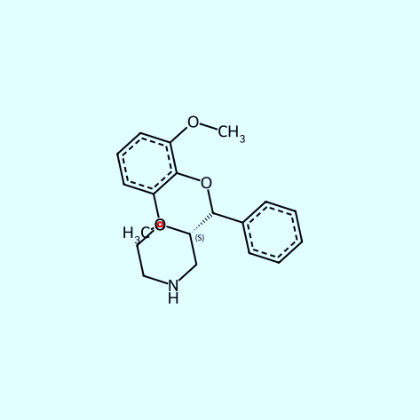 COc1cccc(OC)c1OC(c1ccccc1)[C@@H]1CNCCO1